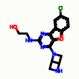 OCCNc1nc(N2CC3NCC32)c2oc3ccc(Cl)cc3c2n1